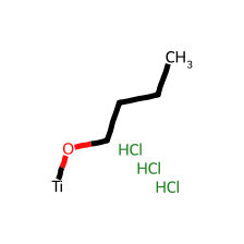 CCCC[O][Ti].Cl.Cl.Cl